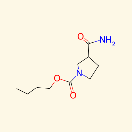 CCCCOC(=O)N1CCC(C(N)=O)C1